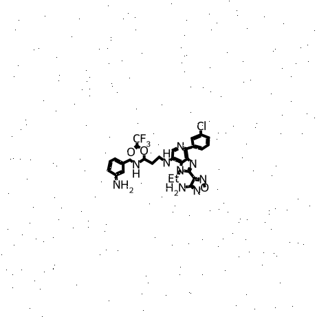 CCn1c(-c2nonc2N)nc2c(-c3cccc(Cl)c3)ncc(NCCC(NCc3cccc(N)c3)OC(=O)C(F)(F)F)c21